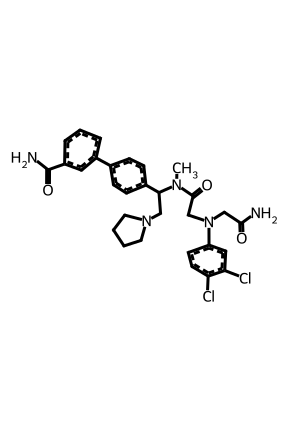 CN(C(=O)CN(CC(N)=O)c1ccc(Cl)c(Cl)c1)C(CN1CCCC1)c1ccc(-c2cccc(C(N)=O)c2)cc1